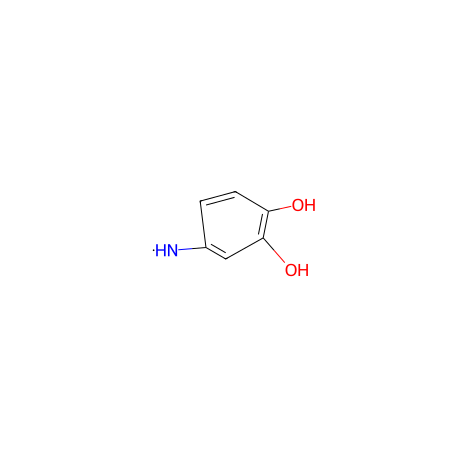 [NH]c1ccc(O)c(O)c1